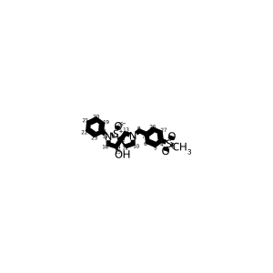 CS(=O)(=O)c1ccc(CN2CC[C@@]3(C2)[C@@H](O)CN(c2ccccc2)[S+]3[O-])cc1